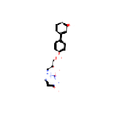 O=C1C=C(c2ccc(OC[C@@H]3Cn4ccc(=O)nc4O3)cc2)CCC1